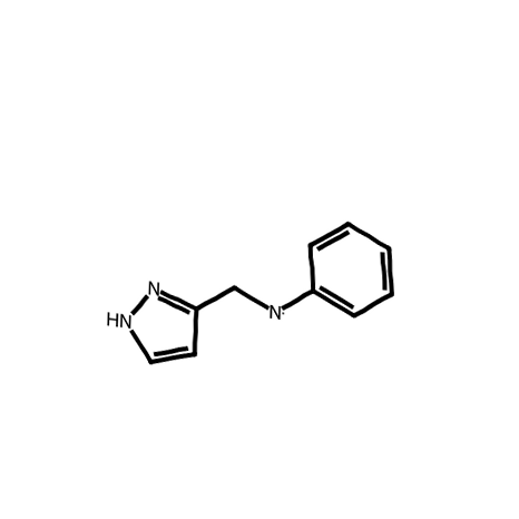 c1ccc([N]Cc2cc[nH]n2)cc1